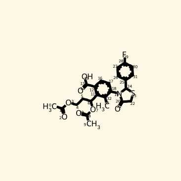 CC(=O)OCCC(OC(C)=O)c1c(C(=O)O)ccc(N2C(=O)CSC2c2ccc(F)cc2)c1C